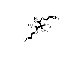 C=CCOC(C)C(C)(N)C(C)OCC=C